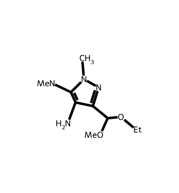 CCOC(OC)c1nn(C)c(NC)c1N